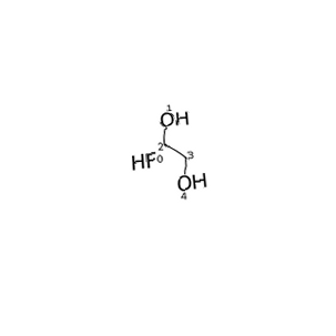 F.OCCO